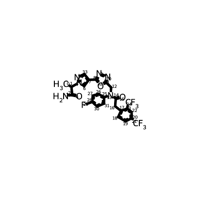 CC(C(N)=O)n1cc(-c2nnc(CN(C(=O)Cc3ccc(C(F)(F)F)cc3C(F)(F)F)c3ccc(F)cc3)o2)cn1